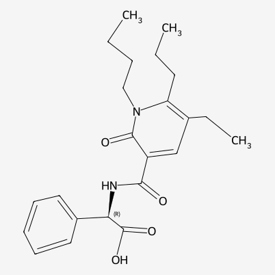 CCCCn1c(CCC)c(CC)cc(C(=O)N[C@@H](C(=O)O)c2ccccc2)c1=O